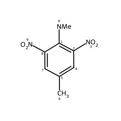 CNc1c([N+](=O)[O-])cc(C)cc1[N+](=O)[O-]